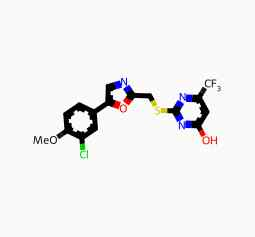 COc1ccc(-c2cnc(CSc3nc(O)cc(C(F)(F)F)n3)o2)cc1Cl